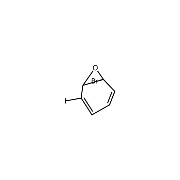 BrC12C=CC=C(I)C1O2